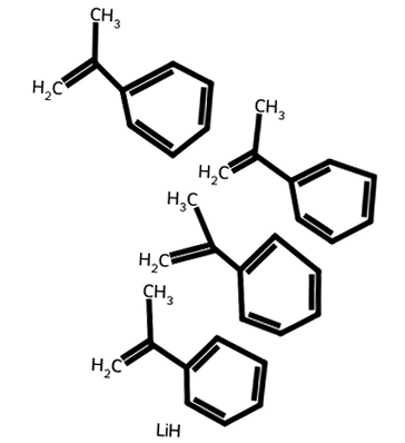 C=C(C)c1ccccc1.C=C(C)c1ccccc1.C=C(C)c1ccccc1.C=C(C)c1ccccc1.[LiH]